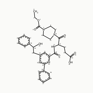 CCOC(=O)N1CCN(C(=O)C(CCC(=O)O)NC(=O)c2cc(CC(O)c3ccccc3)nc(-c3ccccc3)n2)CC1